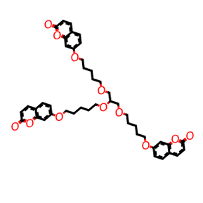 O=c1ccc2ccc(OCCCCCOCC(COCCCCCOc3ccc4ccc(=O)oc4c3)OCCCCCOc3ccc4ccc(=O)oc4c3)cc2o1